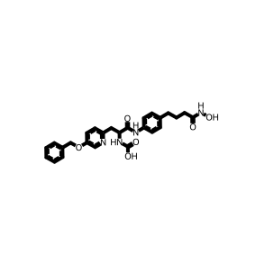 O=C(O)NC(Cc1ccc(OCc2ccccc2)cn1)C(=O)Nc1ccc(CCCC(=O)NO)cc1